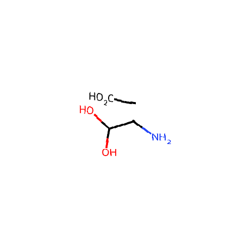 CC(=O)O.NCC(O)O